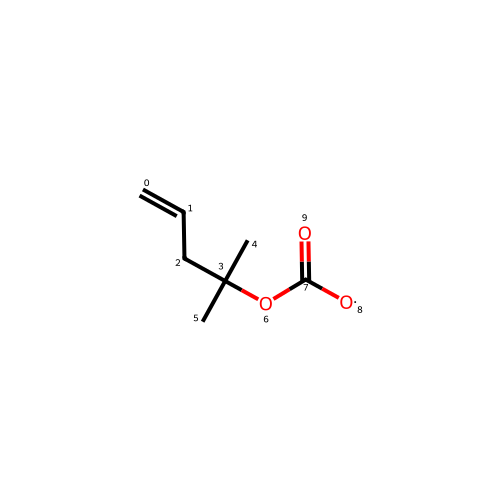 C=CCC(C)(C)OC([O])=O